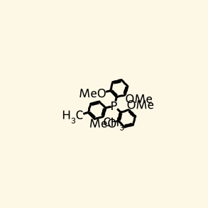 COc1cccc(OC)c1P(c1ccc(C)cc1C)c1c(OC)cccc1OC